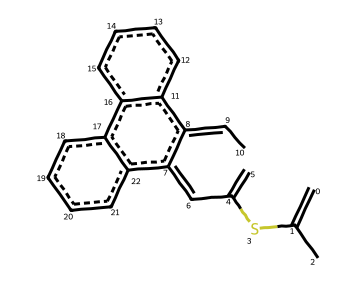 C=C(C)SC(=C)/C=c1\c(=C/C)c2ccccc2c2ccccc12